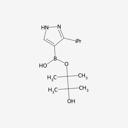 CC(C)c1n[nH]cc1B(O)OC(C)(C)C(C)(C)O